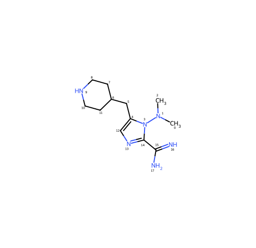 CN(C)n1c(CC2CCNCC2)cnc1C(=N)N